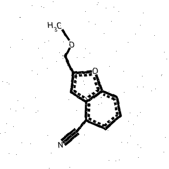 CO[CH]c1cc2c(C#N)cccc2o1